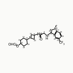 Cn1nc(NCC(=O)NC2CN(C3CCC(OC=O)CC3)C2)c2cc(C(F)(F)F)ccc21